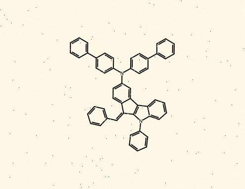 C(=C1/c2ccc(N(c3ccc(-c4ccccc4)cc3)c3ccc(-c4ccccc4)cc3)cc2-c2c1n(-c1ccccc1)c1ccccc21)/c1ccccc1